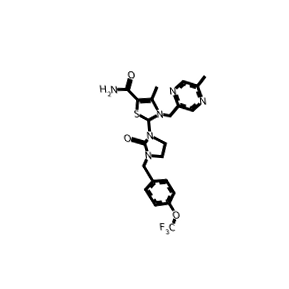 CC1=C(C(N)=O)SC(N2CCN(Cc3ccc(OC(F)(F)F)cc3)C2=O)N1Cc1cnc(C)cn1